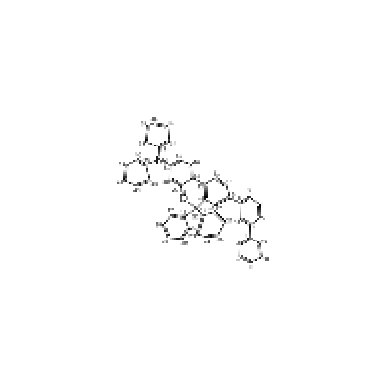 c1ccc(-c2cccc(-c3ccc4c(c3)C(c3ccccc3)(c3ccccc3)Oc3cc(N(c5ccccc5)c5ccccc5)ccc3-4)c2)cc1